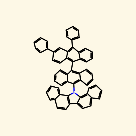 c1ccc(-c2ccc3c(-c4c5ccccc5c(-n5c6c7ccccc7ccc6c6ccc7ccccc7c65)c5ccccc45)c4ccccc4c(-c4ccccc4)c3c2)cc1